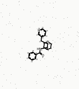 O=C(NC1C2CCN(CC2)C1Cc1cccnc1)c1ccccc1